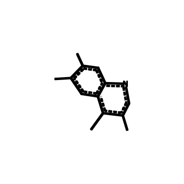 Cc1cc2ncc(C)c(C)c2cc1C